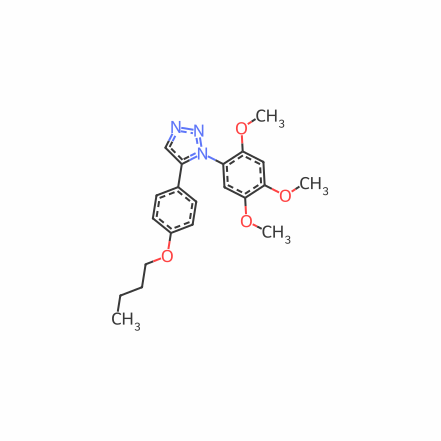 CCCCOc1ccc(-c2cnnn2-c2cc(OC)c(OC)cc2OC)cc1